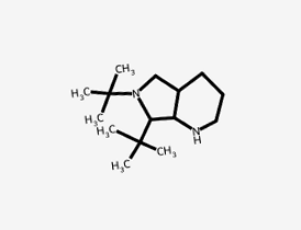 CC(C)(C)C1C2NCCCC2CN1C(C)(C)C